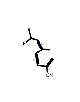 C=C(C#N)/C=C\C(C)=C/C(C)F